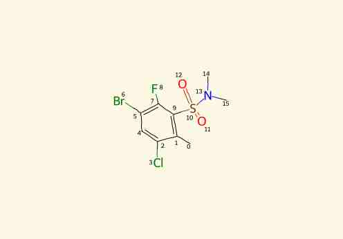 Cc1c(Cl)cc(Br)c(F)c1S(=O)(=O)N(C)C